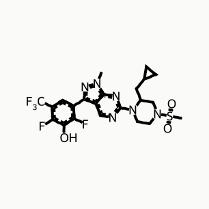 Cn1nc(-c2cc(C(F)(F)F)c(F)c(O)c2F)c2cnc(N3CCN(S(C)(=O)=O)CC3CC3CC3)nc21